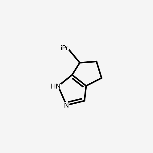 CC(C)C1CCc2cn[nH]c21